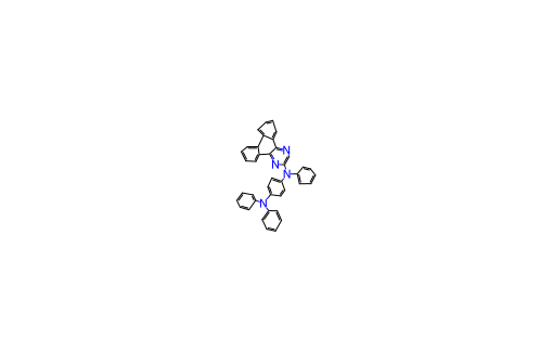 c1ccc(N(c2ccccc2)c2ccc(N(c3ccccc3)c3cnc4c5ccccc5c5ccccc5c4n3)cc2)cc1